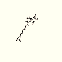 CCCCCCOCCc1cccc2c1C(=O)NC2=O